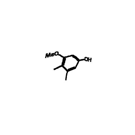 COc1cc(O)cc(C)c1C